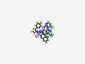 O=C(Nc1ccsc1-c1ccc(F)cc1)c1cc2ccccc2c(Cl)c1NC(=O)c1cc(C(F)(F)F)nn1-c1ncccc1Cl